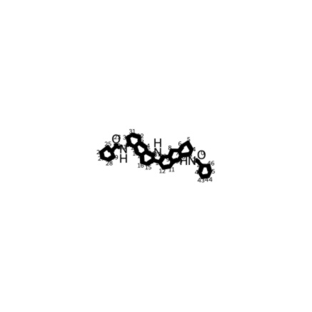 O=C(Nc1cccc2cc3c(ccc4c5ccc6cc7c(NC(=O)c8ccccc8)cccc7cc6c5[nH]c34)cc12)c1ccccc1